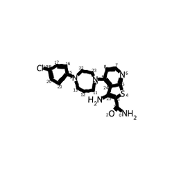 NC(=O)c1sc2nccc(N3CCCN(c4ccc(Cl)cc4)CC3)c2c1N